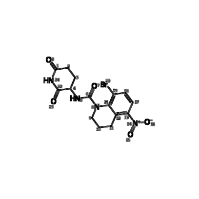 O=C1CCC(NC(=O)N2CCCc3c([N+](=O)[O-])ccc(Br)c32)C(=O)N1